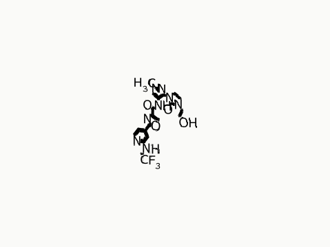 Cn1cc(NC(=O)c2coc(-c3ccnc(NCC(F)(F)F)c3)n2)c(N2CCN(CCO)C2=O)n1